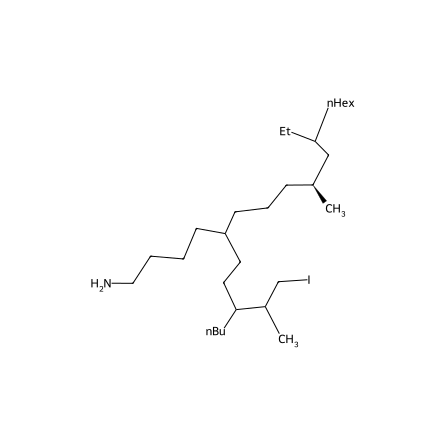 CCCCCCC(CC)C[C@@H](C)CCCC(CCCCN)CCC(CCCC)C(C)CI